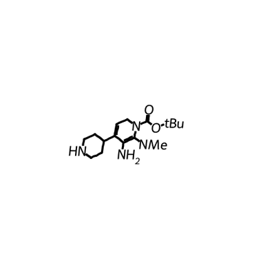 CNC1=C(N)C(C2CCNCC2)=CCN1C(=O)OC(C)(C)C